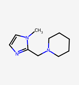 Cn1ccnc1CN1CCCCC1